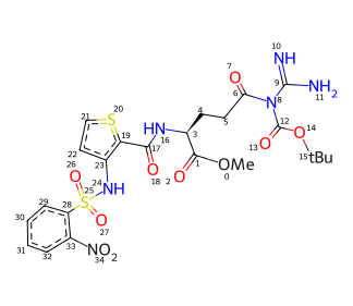 COC(=O)[C@H](CCC(=O)N(C(=N)N)C(=O)OC(C)(C)C)NC(=O)c1sccc1NS(=O)(=O)c1ccccc1[N+](=O)[O-]